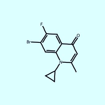 Cc1cc(=O)c2cc(F)c(Br)cc2n1C1CC1